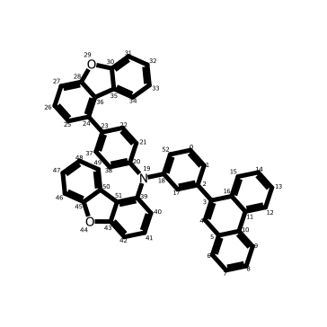 c1cc(-c2cc3ccccc3c3ccccc23)cc(N(c2ccc(-c3cccc4oc5ccccc5c34)cc2)c2cccc3oc4ccccc4c23)c1